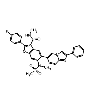 CNC(=O)c1c(-c2ccc(F)cc2)oc2cc(N(C)S(C)(=O)=O)c(-c3ccc4nc(-c5ccccc5)cn4c3)cc12